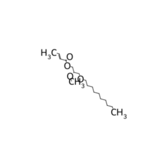 CC=CC(=O)OCC(COCCCCCCCCCC)OC